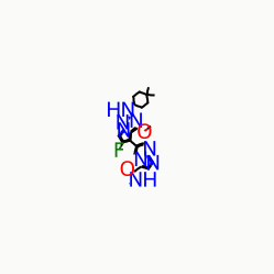 CNC(=O)c1cnc2ncc(-c3c(F)cn4nc(NC5CCC(C)(C)CC5)nc(OC)c34)cn12